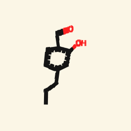 CCCc1ccc(C=O)c(O)c1